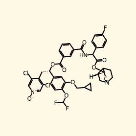 O=C(NC(C(=O)O[C@H]1CN2CCC1CC2)c1ccc(F)cc1)c1cccc(C(=O)O[C@@H](Cc2c(Cl)c[n+]([O-])cc2Cl)c2ccc(OC(F)F)c(OCC3CC3)c2)c1